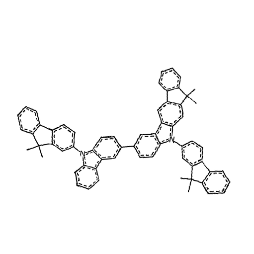 CC1(C)c2ccccc2-c2ccc(-n3c4ccccc4c4cc(-c5ccc6c(c5)c5cc7c(cc5n6-c5ccc6c(c5)C(C)(C)c5ccccc5-6)C(C)(C)c5ccccc5-7)ccc43)cc21